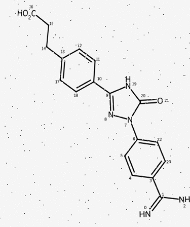 N=C(N)c1ccc(-n2nc(-c3ccc(CCC(=O)O)cc3)[nH]c2=O)cc1